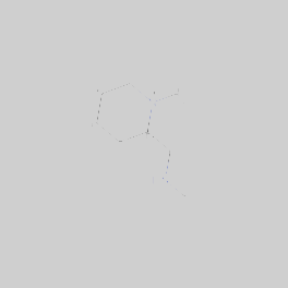 CCNCC1CCCCN1CC